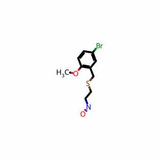 COc1ccc(Br)cc1CSCCN=O